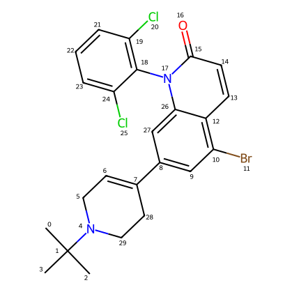 CC(C)(C)N1CC=C(c2cc(Br)c3ccc(=O)n(-c4c(Cl)cccc4Cl)c3c2)CC1